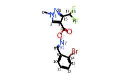 Cn1cc(C(=O)O/N=C/c2ccccc2Br)c(C(F)F)n1